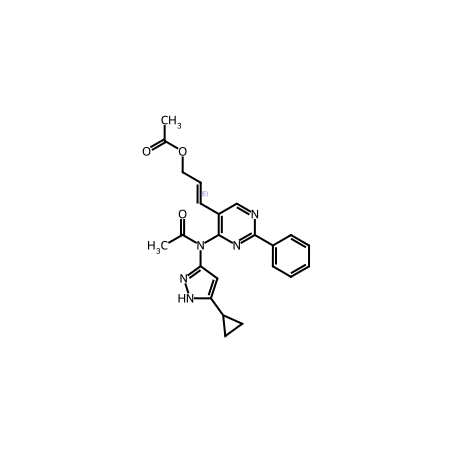 CC(=O)OC/C=C/c1cnc(-c2ccccc2)nc1N(C(C)=O)c1cc(C2CC2)[nH]n1